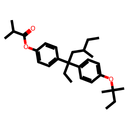 CCC(C)CC(CC)(c1ccc(OC(=O)C(C)C)cc1)c1ccc(OC(C)(C)CC)cc1